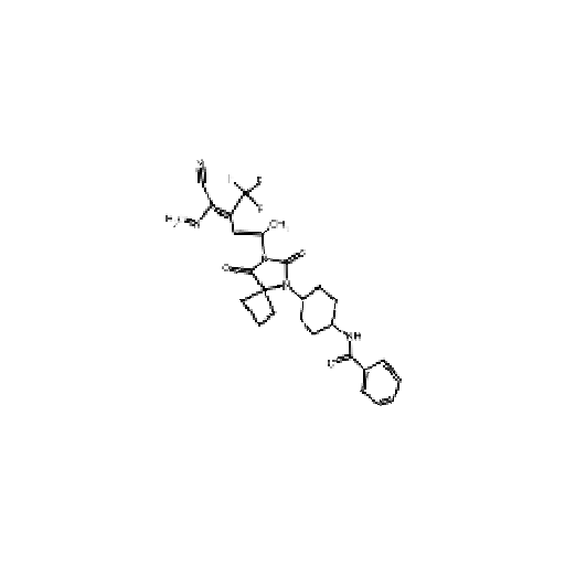 C=N/C(C#N)=C(\C=C(/C)N1C(=O)C2(CCC2)N(C2CCC(NC(=O)c3ccccc3)CC2)C1=S)C(F)(F)F